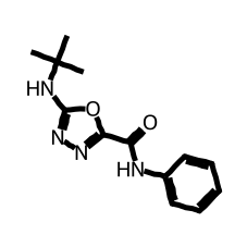 CC(C)(C)Nc1nnc(C(=O)Nc2ccccc2)o1